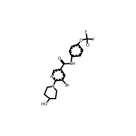 O=C(Nc1ccc(OC(F)(F)Cl)cc1)c1cnc(N2CCC(O)CC2)c(Br)c1